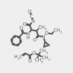 C=CC(=O)OC(C)(C)C.CCON(C(=O)C(C)C(NC(=O)c1ccccc1)C(=O)N=C=O)C1CC1